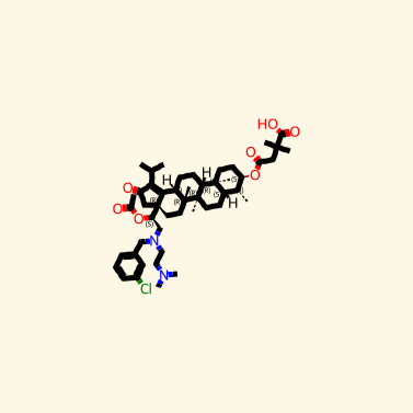 CC(=O)O[C@H](CN(CCN(C)C)Cc1cccc(Cl)c1)[C@@]12CC[C@]3(C)[C@H](CC[C@@H]4[C@@]5(C)CC[C@H](OC(=O)CC(C)(C)C(=O)O)[C@H](C)[C@@H]5CC[C@]43C)C1=C(C(C)C)C(=O)C2